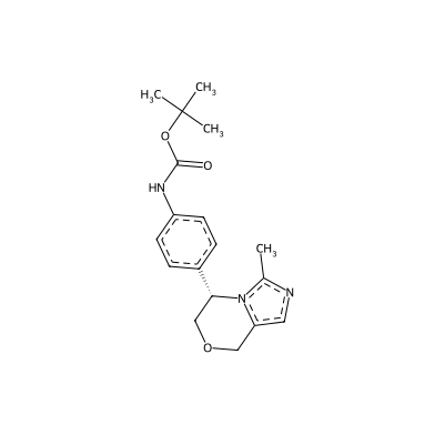 Cc1ncc2n1[C@@H](c1ccc(NC(=O)OC(C)(C)C)cc1)COC2